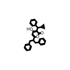 O=c1oc(C(Cc2ccccc2)Cc2ccccc2)cc(O)c1C(c1ccccc1)C1CC1